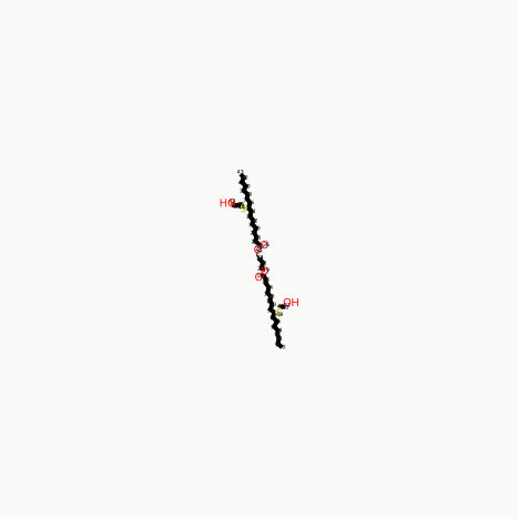 CCCCCCCCC(CCCCCCCCC(=O)OCCCCOC(=O)CCCCCCCCC(CCCCCCCC)SCCO)SCCO